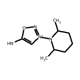 CC1CCCC(C)N1[n+]1cc([NH-])on1